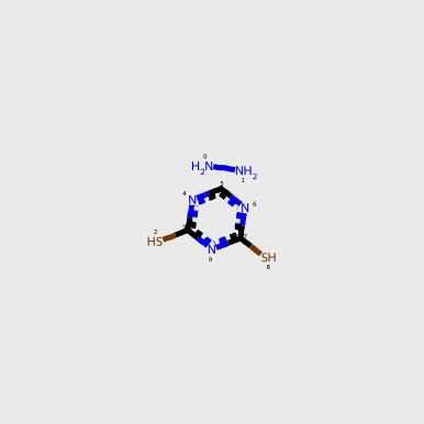 NN.Sc1ncnc(S)n1